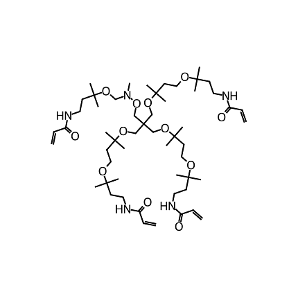 C=CC(=O)NCCC(C)(C)OCCC(C)(C)OCC(CON(C)COC(C)(C)CCNC(=O)C=C)(COC(C)(C)CCOC(C)(C)CCNC(=O)C=C)COC(C)(C)CCOC(C)(C)CCNC(=O)C=C